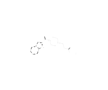 O=C(O)C(=O)CCN1CCN(C(=O)c2cc3ccccc3[nH]2)CC1